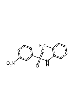 O=[N+]([O-])c1cccc(S(=O)(=O)Nc2ccccc2C(F)(F)F)c1